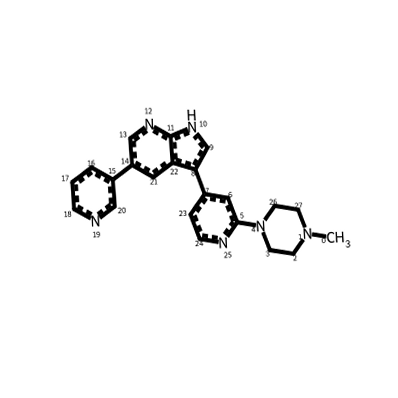 CN1CCN(c2cc(-c3c[nH]c4ncc(-c5cccnc5)cc34)ccn2)CC1